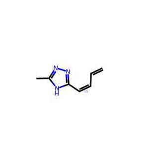 C=C/C=C\c1nnc(C)[nH]1